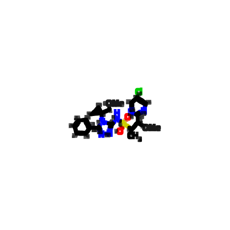 COCC1(n2c(NS(=O)(=O)C(C)C(OC)c3ncc(Cl)cn3)nnc2-c2ccccc2)CC1